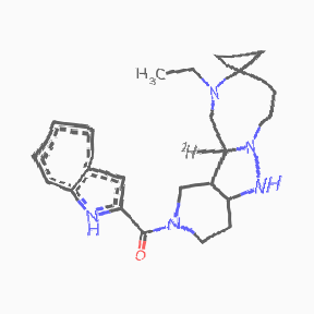 [2H]C12CN(CC)C3(CCN1NC1CCN(C(=O)c4cc5ccccc5[nH]4)CC12)CC3